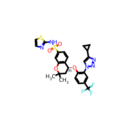 CC1(C)C[C@@H](Oc2ccc(C(F)(F)F)cc2-n2cc(C3CC3)nn2)c2ccc(S(=O)(=O)Nc3nccs3)cc2O1